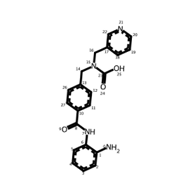 Nc1ccccc1NC(=O)c1ccc(CN(Cc2cccnc2)C(=O)O)cc1